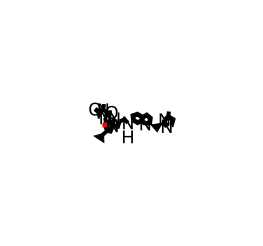 Cc1ccnc([C@@H]2C[C@H]2c2ccc3ccc(NCc4cn5cc(C6CC6)cc(N6CC(=O)N(C)C6=O)c5n4)cc3n2)n1